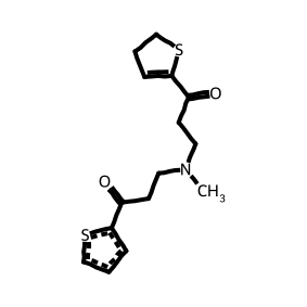 CN(CCC(=O)C1=CCCS1)CCC(=O)c1cccs1